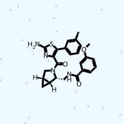 COc1cccc(C(=O)NC[C@@H]2[C@@H]3C[C@@H]3CN2C(=O)c2nc(N)sc2-c2cccc(C)c2)c1